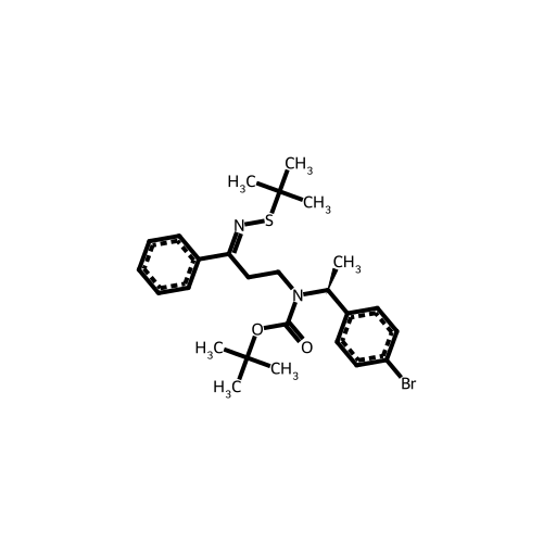 C[C@@H](c1ccc(Br)cc1)N(CCC(=NSC(C)(C)C)c1ccccc1)C(=O)OC(C)(C)C